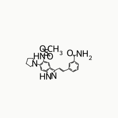 CS(=O)(=O)Nc1cc2c(C=Cc3cccc(C(N)=O)c3)n[nH]c2cc1N1CCCC1